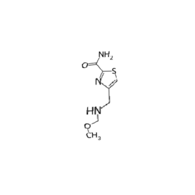 COCNCc1csc(C(N)=O)n1